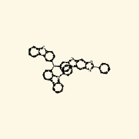 c1ccc(-c2nc3cc4c(cc3o2)oc2cc(N(c3ccc5oc6ccccc6c5c3)c3cccc5c6ccccc6n(-c6ccccc6)c35)ccc24)cc1